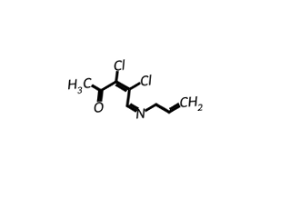 C=CC/N=C\C(Cl)=C(\Cl)C(C)=O